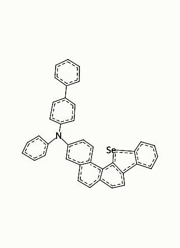 c1ccc(-c2ccc(N(c3ccccc3)c3ccc4c(ccc5ccc6c7ccccc7[se]c6c54)c3)cc2)cc1